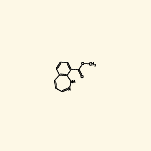 COC(=O)c1cccc2c1NN=CC=C2